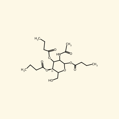 CCCC(=O)OC1OC(CO)[C@@H](OC(=O)CCC)C(OC(=O)CCC)C1NC(C)=O